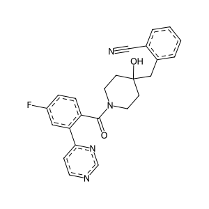 N#Cc1ccccc1CC1(O)CCN(C(=O)c2ccc(F)cc2-c2ccncn2)CC1